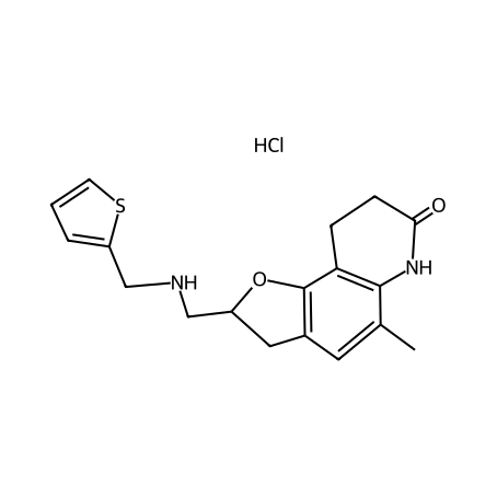 Cc1cc2c(c3c1NC(=O)CC3)OC(CNCc1cccs1)C2.Cl